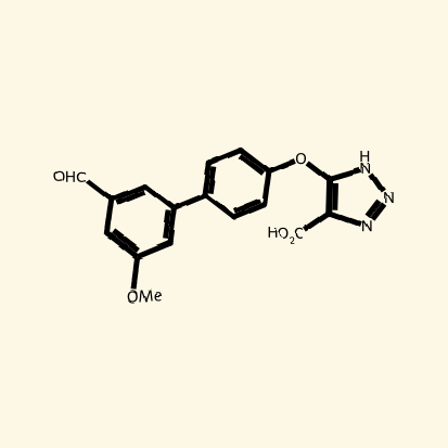 COc1cc(C=O)cc(-c2ccc(Oc3[nH]nnc3C(=O)O)cc2)c1